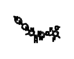 COc1cc(C)c(F)c(COc2cnc(Nc3cnc(N4CCC(N5CCN(C)CC5)CC4)c(C)c3)nc2)c1F